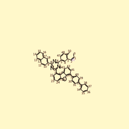 C/C=C\c1cc(-c2nc(-c3ccc4ccccc4c3)nc(-c3cccc4oc5c(-c6ccc(-c7ccccc7)cc6)cccc5c34)n2)ccc1C